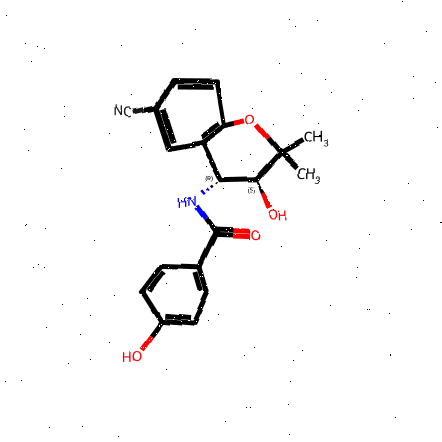 CC1(C)Oc2ccc(C#N)cc2[C@@H](NC(=O)c2ccc(O)cc2)[C@@H]1O